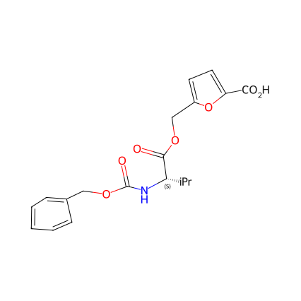 CC(C)[C@H](NC(=O)OCc1ccccc1)C(=O)OCc1ccc(C(=O)O)o1